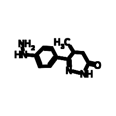 CC1CC(=O)NN=C1c1ccc(NN)cc1